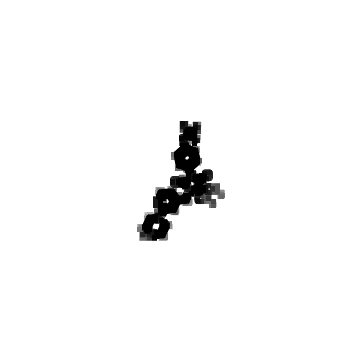 CC1(C)C(=O)N(c2ccc(SC(F)(F)F)cc2)C(=O)N1Cc1ccnc(N2CCNCC2)c1